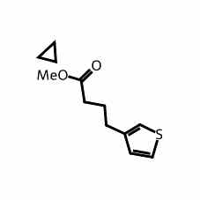 C1CC1.COC(=O)CCCc1ccsc1